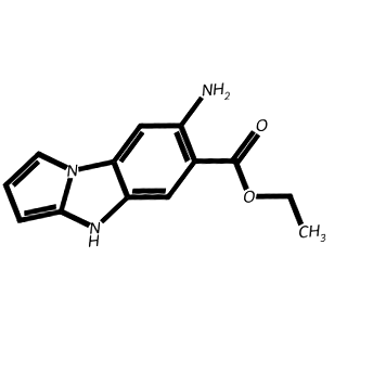 CCOC(=O)c1cc2[nH]c3cccn3c2cc1N